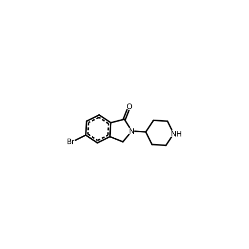 O=C1c2ccc(Br)cc2CN1C1CCNCC1